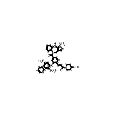 Cc1cc(C(=O)N2Cc3cnn(C)c3Nc3ccccc32)ccc1CCC(=O)N1CCC(C=O)CC1.Cc1ccc(S(=O)(=O)O)cc1.c1ccncc1